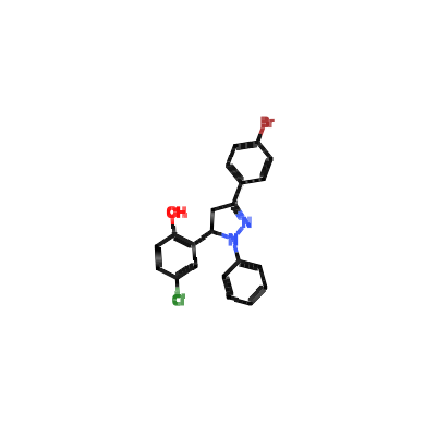 Oc1ccc(Cl)cc1C1CC(c2ccc(Br)cc2)=NN1c1ccccc1